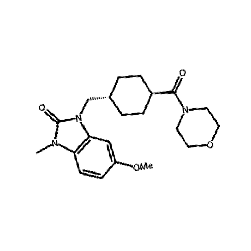 COc1ccc2c(c1)n(C[C@H]1CC[C@H](C(=O)N3CCOCC3)CC1)c(=O)n2C